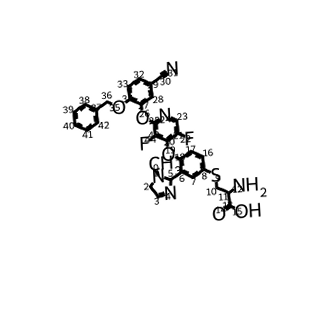 CN1CC=NC1c1cc(SCC(N)C(=O)O)ccc1Oc1c(F)cnc(Oc2cc(C#N)ccc2OCc2ccccc2)c1F